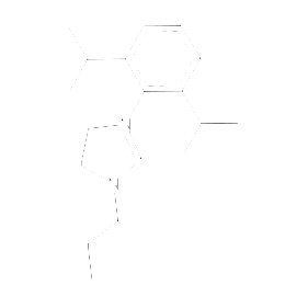 CCCN1C=[N+](c2c(C(C)C)cccc2C(C)C)CC1